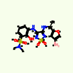 Bc1coc([C@@H](CC)NC2=NS(=O)(=O)N=C2Nc2cccc(S(=O)(=O)N(C)C)c2O)c1